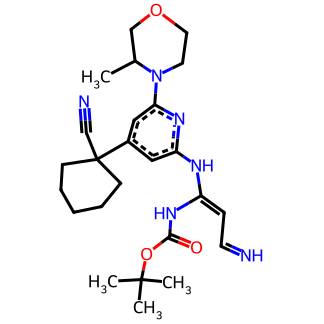 CC1COCCN1c1cc(C2(C#N)CCCCC2)cc(N/C(=C/C=N)NC(=O)OC(C)(C)C)n1